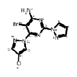 Nc1nc(-n2cccn2)nc(-n2cc(Cl)cn2)c1Br